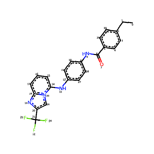 CCc1ccc(C(=O)Nc2ccc(Nc3cccc4nc(C(F)(F)F)cn34)cc2)cc1